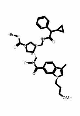 COCCCn1cc(C)c2ccc(C(=O)N(C[C@@H]3CN(C(=O)OC(C)(C)C)C[C@H]3CNC(=O)C(c3ccccc3)C3CC3)C(C)C)cc21